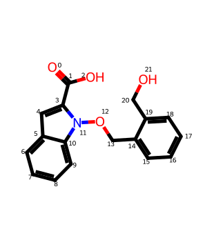 O=C(O)c1cc2ccccc2n1OCc1ccccc1CO